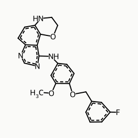 COc1cc(Nc2ncnc3ccc4c(c23)OCCN4)ccc1OCc1cccc(F)c1